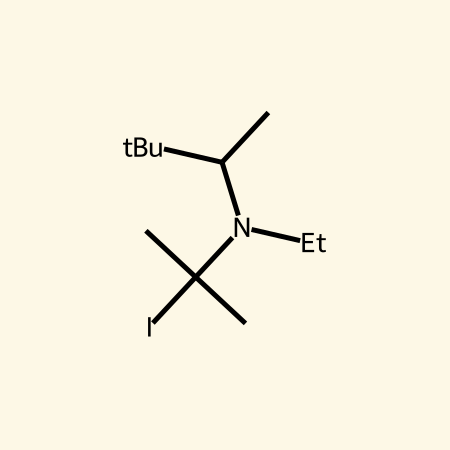 CCN(C(C)C(C)(C)C)C(C)(C)I